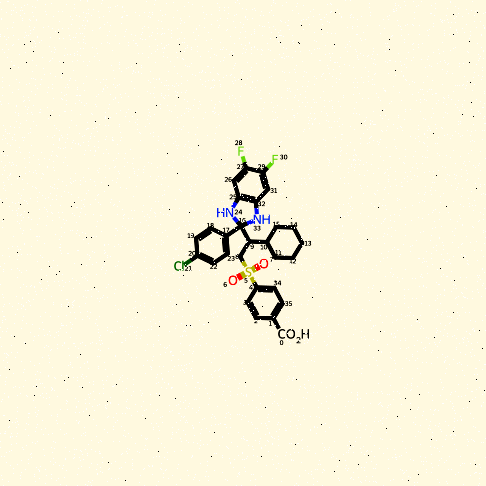 O=C(O)c1ccc(S(=O)(=O)CC(C2CCCCC2)C2(c3ccc(Cl)cc3)Nc3cc(F)c(F)cc3N2)cc1